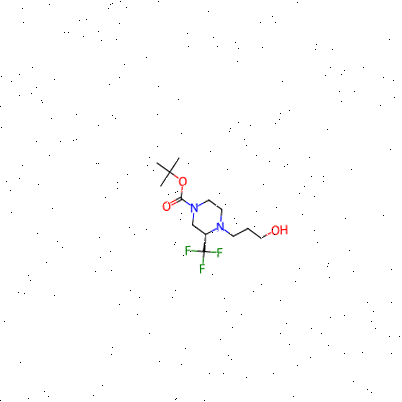 CC(C)(C)OC(=O)N1CCN(CCCO)[C@@H](C(F)(F)F)C1